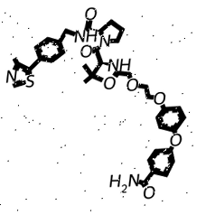 Cc1ncsc1-c1ccc(CNC(=O)[C@@H]2CCCN2C(=O)[C@@H](NC(=O)COCCOc2ccc(Oc3ccc(C(N)=O)cc3)cc2)C(C)(C)C)cc1